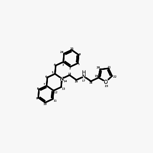 c1ccc(CC2Cc3ccccc3CN2CCNCc2ccco2)cc1